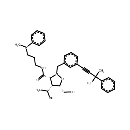 CC(O)[C@H]1[C@@H](CO)ON(Cc2cccc(C#CC(C)(C)c3ccccc3)c2)[C@H]1C(=O)NCCCN(C)c1ccccc1